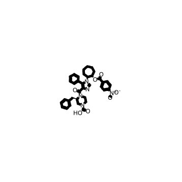 O=C(O[C@@H]1CCCCC[C@@H]1n1cnc(C(=O)N2CCN(C(=O)O)C[C@H]2Cc2ccccc2)c1-c1ccccc1)c1ccc([N+](=O)[O-])cc1